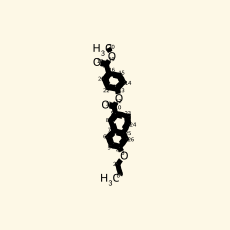 CCCOc1ccc2cc(C(=O)Oc3ccc(C(=O)OC)cc3)ccc2c1